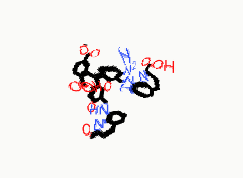 COC(=O)c1ccc(C(=O)O)c(-c2c3ccc(=O)c(CNc4cccc5ccc(C=O)nc45)c-3oc3c(CNc4cccc5ccc(C(=O)O)nc45)c(N)ccc23)c1